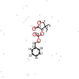 CC1(C)COC(=O)C1OC(=O)OCc1ccccc1